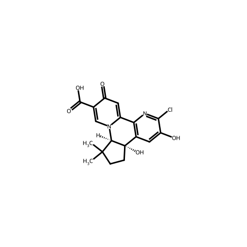 CC1(C)CC[C@]2(O)c3cc(O)c(Cl)nc3-c3cc(=O)c(C(=O)O)cn3[C@H]12